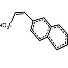 O=C(O)/C=C\c1ccc2ccccc2c1